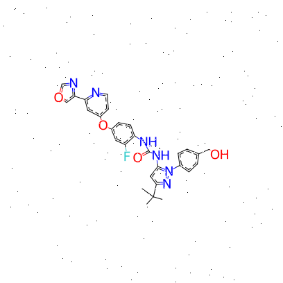 CC(C)(C)c1cc(NC(=O)Nc2ccc(Oc3ccnc(-c4cocn4)c3)cc2F)n(-c2ccc(CO)cc2)n1